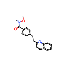 CON(C)C(=O)c1ccc(CCc2ccc3ccccc3n2)cc1